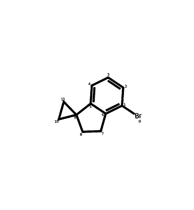 Brc1cccc2c1CCC21CC1